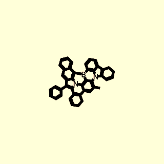 Cc1cc2c3c(c4c(-c5ccccc5)c5cc6ccccc6c6c5n4c2c2c1-n1c4c(c5cccc(c51)B26)CCC=C4)C=CCC3